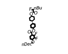 CCCCCCCCCCOc1ccc(C(=O)Oc2ccc([C@H]3CC[C@H](OC(=O)[C@@H](F)CCCC)CC3)cc2)c(F)c1F